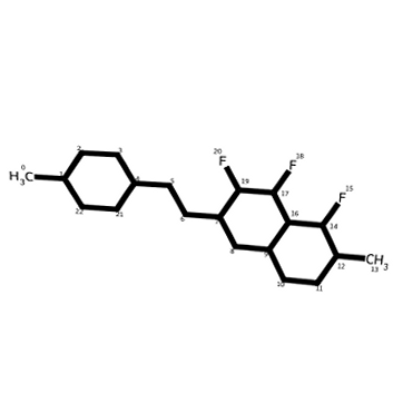 CC1CCC(CCC2CC3CCC(C)C(F)C3C(F)C2F)CC1